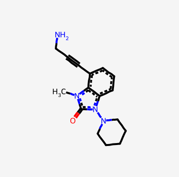 Cn1c(=O)n(N2CCCCC2)c2cccc(C#CCN)c21